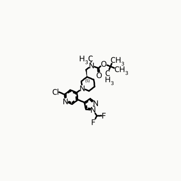 CN(C[C@H]1CCCN(c2cc(Cl)ncc2-c2cnn(C(F)F)c2)C1)C(=O)OC(C)(C)C